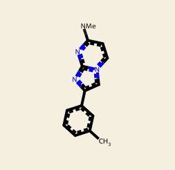 Cc1cccc(-c2cn3ccc(N[11CH3])nc3n2)c1